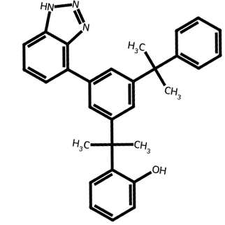 CC(C)(c1ccccc1)c1cc(-c2cccc3[nH]nnc23)cc(C(C)(C)c2ccccc2O)c1